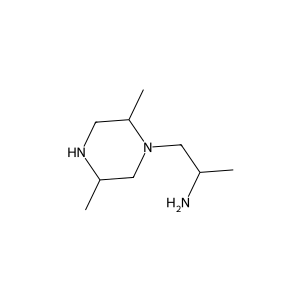 CC(N)CN1CC(C)NCC1C